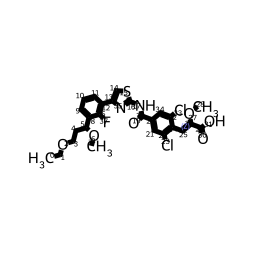 CCOCCC(OC)c1cccc(-c2csc(NC(=O)c3cc(Cl)c(/C=C(\OC)C(=O)O)c(Cl)c3)n2)c1F